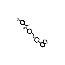 O=C(NC1CCC(CCN2CCC(c3cccc4c3CCO4)CC2)CC1)c1ccc(Cl)cc1